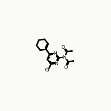 CC(=O)N(C(C)=O)c1nc(Cl)cc(C2=CCCCC2)n1